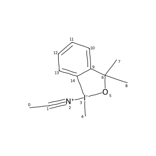 CC#[N+][I-]1(C)OC(C)(C)c2ccccc21